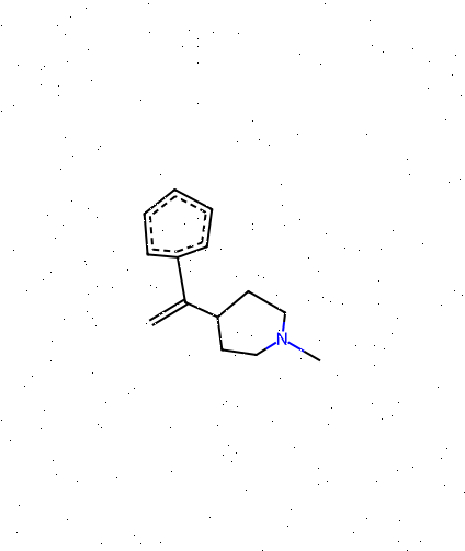 C=C(c1ccccc1)C1CCN(C)CC1